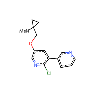 CNC1(COc2cnc(Cl)c(-c3cccnc3)c2)CC1